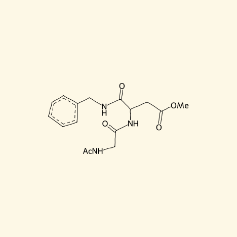 COC(=O)CC(NC(=O)CNC(C)=O)C(=O)NCc1ccccc1